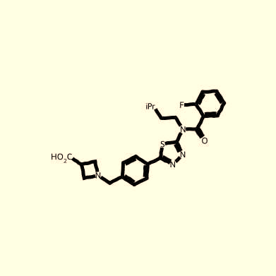 CC(C)CCN(C(=O)c1ccccc1F)c1nnc(-c2ccc(CN3CC(C(=O)O)C3)cc2)s1